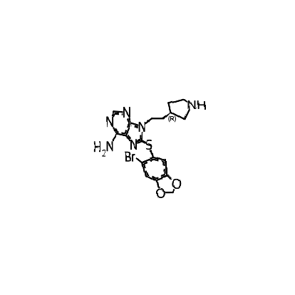 Nc1ncnc2c1nc(Sc1cc3c(cc1Br)OCO3)n2CC[C@H]1CCNC1